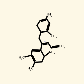 C=C/C=C(/CC1CC=C(N)C=C1C)C1=CC(C)=C(C)CC1N